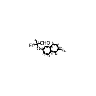 CCC(C)(C=O)Oc1[c]c2ccc(I)cc2cc1